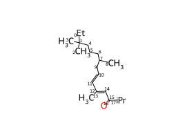 CCC(C)(C)CCCC(C)CC=CC(C)=CC(=O)C(C)C